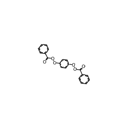 O=C(OOc1ccc(OOC(=O)c2ccccc2)cc1)c1ccccc1